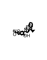 CN(C)C(=O)c1cc2cc(O)c(-c3ccc(N(C4CC4)[C@H]4CC5CCC(N5)[C@H]4F)nn3)cc2o1